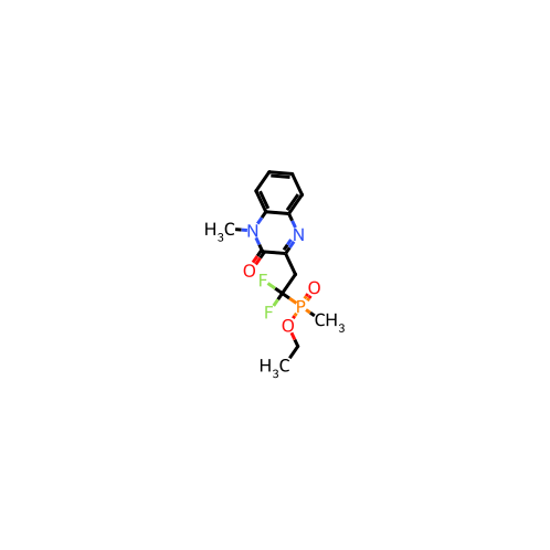 CCOP(C)(=O)C(F)(F)Cc1nc2ccccc2n(C)c1=O